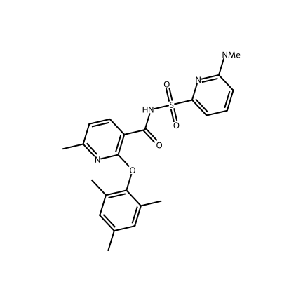 CNc1cccc(S(=O)(=O)NC(=O)c2ccc(C)nc2Oc2c(C)cc(C)cc2C)n1